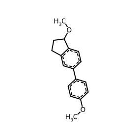 COc1ccc(-c2ccc3c(c2)CCC3OC)cc1